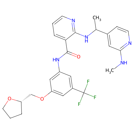 CNc1cc(C(C)Nc2ncccc2C(=O)Nc2cc(OC[C@@H]3CCCO3)cc(C(F)(F)F)c2)ccn1